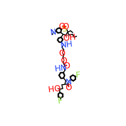 CCCCC1(CC)CS(=O)(=O)c2ccc(N(C)C)cc2C(c2cccc(NCCOCCOCC(=O)NCc3cccc(C4C(CCC(O)c5ccc(F)cc5)C(=O)N4c4ccc(F)cc4)c3)c2)C1O